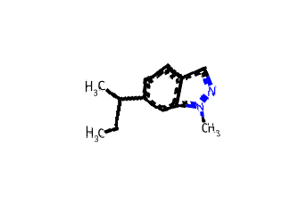 CCC(C)c1ccc2cnn(C)c2c1